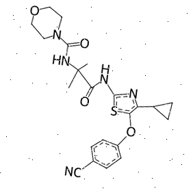 CC(C)(NC(=O)N1CCOCC1)C(=O)Nc1nc(C2CC2)c(Oc2ccc(C#N)cc2)s1